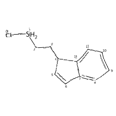 Cl[SiH2]CCC1C=Cc2ccccc21